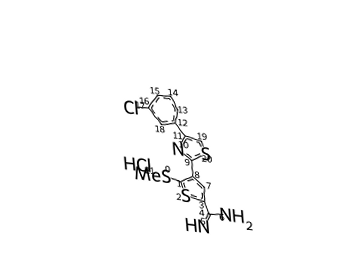 CSc1sc(C(=N)N)cc1-c1nc(-c2cccc(Cl)c2)cs1.Cl